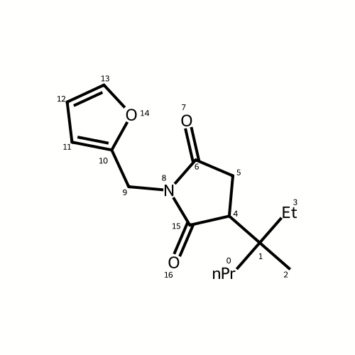 CCCC(C)(CC)C1CC(=O)N(Cc2ccco2)C1=O